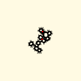 C1=CCC(C2(c3cccc(-c4ccc5c(c4)c4c6ccccc6ccc4n5-c4ccccc4)c3)c3ccccc3-c3ccccc3-c3cccc2c3-c2ccccc2)C=C1